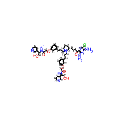 Nc1nc(N)c(C(=O)CCC[C@H]2CCC[N+](CCCc3cccc(OCC(=O)NC(CO)c4cccnc4)c3)(CCCc3cccc(OCC(=O)NC(CO)c4cccnc4)c3)C2)nc1Cl